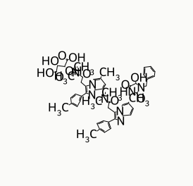 Cc1ccc(-c2nc3ccc(C)cn3c2CC(=O)N(C)C)cc1.Cc1ccc(-c2nc3ccc(C)cn3c2CC(=O)N(C)C)cc1.O=C(O)C(O)C(O)C(=O)O.O=C1NC(=O)N(Cc2ccccc2)C1O